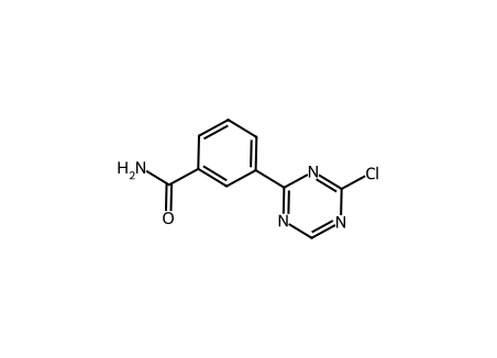 NC(=O)c1cccc(-c2ncnc(Cl)n2)c1